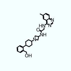 Cc1ccc2ncnc(NCC(=O)NC3CN(C4CCC(c5ccccc5CO)CC4)C3)c2c1